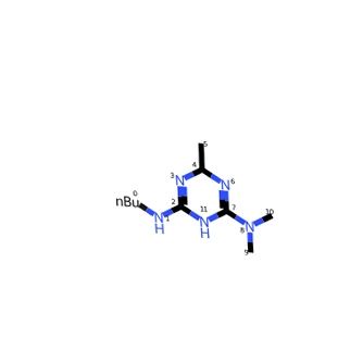 CCCCNC1=NC(C)N=C(N(C)C)N1